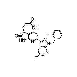 C[C@]12CCC(=O)Nc3nc(-c4nn(Cc5ccccc5F)c5ncc(F)cc45)nc(c31)NC2=O